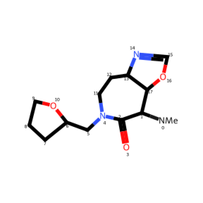 CNC1C(=O)N(CC2CCCO2)CCC2N=COC21